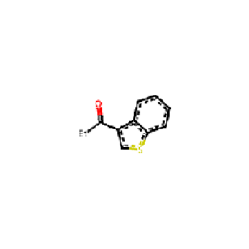 CCC(=O)c1csc2ccccc12